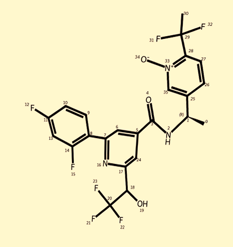 C[C@@H](NC(=O)c1cc(-c2ccc(F)cc2F)nc(C(O)C(F)(F)F)c1)c1ccc(C(C)(F)F)[n+]([O-])c1